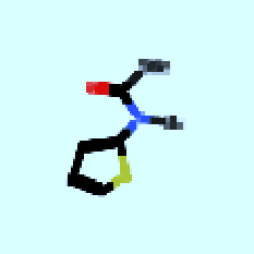 COC(=O)N(c1cccs1)C(C)(C)C